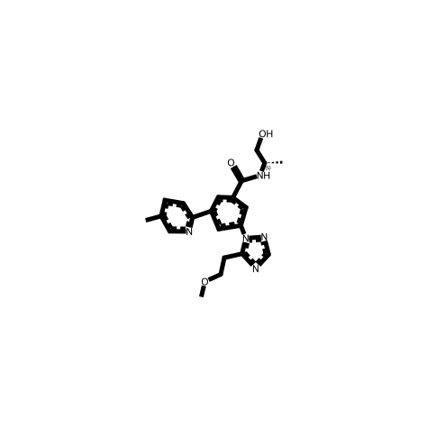 COCCc1ncnn1-c1cc(C(=O)N[C@@H](C)CO)cc(-c2ccc(C)cn2)c1